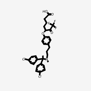 CN(CCCc1ccc(OC(CCCC(=O)O)C(=O)C(F)(F)F)cc1)C(C)(c1ccc(Cl)cc1)c1ccc(Cl)cc1